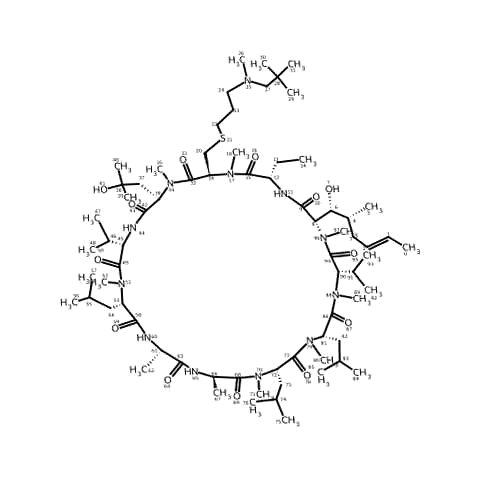 C/C=C/C[C@@H](C)[C@@H](O)[C@H]1C(=O)N[C@@H](CC)C(=O)N(C)[C@H](CSCCCN(C)CC(C)(C)C)C(=O)N(C)[C@@H](CC(C)(C)O)C(=O)N[C@@H](C(C)C)C(=O)N(C)[C@@H](CC(C)C)C(=O)N[C@@H](C)C(=O)N[C@H](C)C(=O)N(C)[C@@H](CC(C)C)C(=O)N(C)[C@@H](CC(C)C)C(=O)N(C)[C@@H](C(C)C)C(=O)N1C